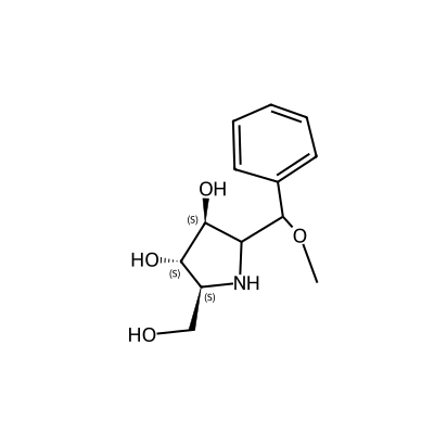 COC(c1ccccc1)C1N[C@@H](CO)[C@H](O)[C@H]1O